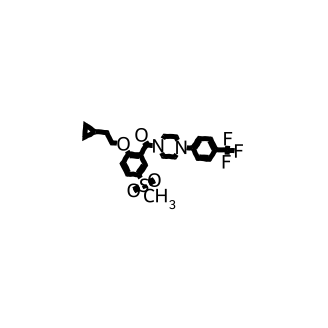 CS(=O)(=O)c1ccc(OCCC2CC2)c(C(=O)N2CCN(c3ccc(C(F)(F)F)cc3)CC2)c1